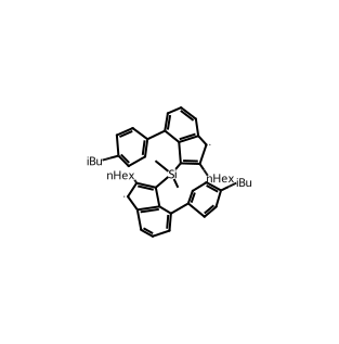 CCCCCCC1=C([Si](C)(C)C2=C(CCCCCC)[CH]c3cccc(-c4ccc(C(C)CC)cc4)c32)c2c(cccc2-c2ccc(C(C)CC)cc2)[CH]1